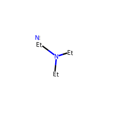 CCN(CC)CC.[N]